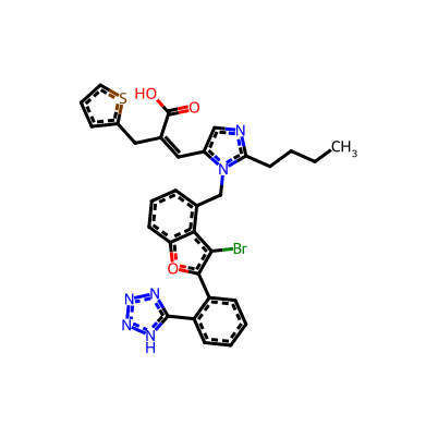 CCCCc1ncc(C=C(Cc2cccs2)C(=O)O)n1Cc1cccc2oc(-c3ccccc3-c3nnn[nH]3)c(Br)c12